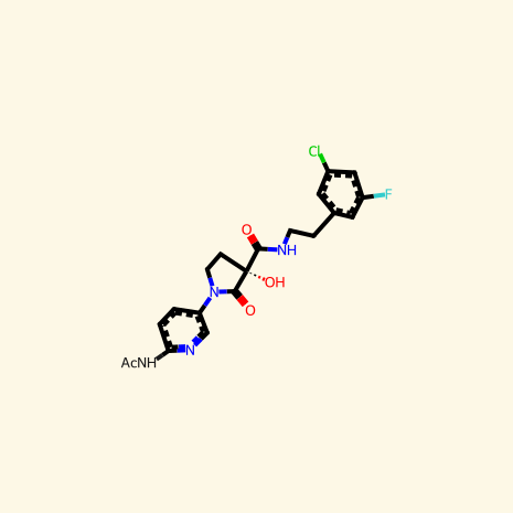 CC(=O)Nc1ccc(N2CC[C@@](O)(C(=O)NCCc3cc(F)cc(Cl)c3)C2=O)cn1